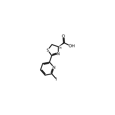 O=C(O)[C@@H]1CSC(c2cccc(I)n2)=N1